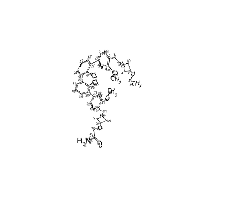 CCOC1CN(Cc2ncc(-c3cccc(-c4cccc(-c5cnc(CN6CC(OCC(N)=O)C6)c(OC)n5)c4Cl)c3Cl)nc2OC)C1